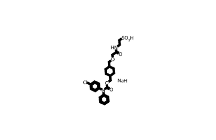 O=C(COCC1CCC(COC(=O)N(c2ccccc2)c2ccc(Cl)cc2)CC1)NCCS(=O)(=O)O.[NaH]